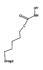 [CH2]CCNC(=O)CCCCCCCCCCCCC